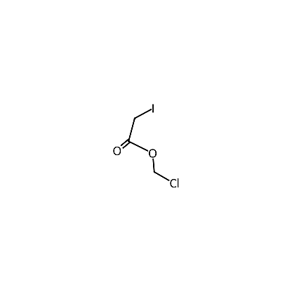 O=C(CI)OCCl